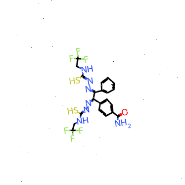 NC(=O)c1ccc(C(=N\N=C(/S)NCC(F)(F)F)/C(=N/N=C(\S)NCC(F)(F)F)c2ccccc2)cc1